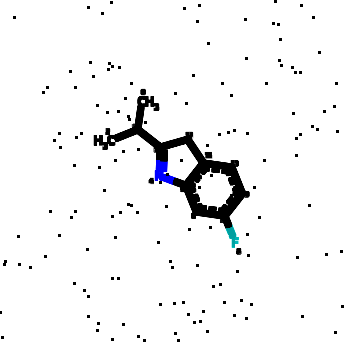 CC(C)C1=Nc2cc(F)ccc2C1